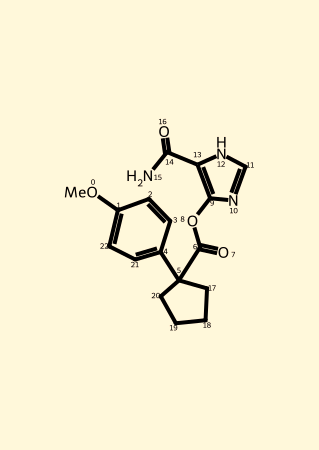 COc1ccc(C2(C(=O)Oc3nc[nH]c3C(N)=O)CCCC2)cc1